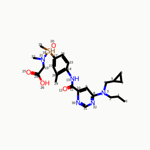 CCCN(CC1CC1)c1cc(C(=O)Nc2ccc([SH](C)(=O)N(C)CC(=O)O)cc2C)ncn1